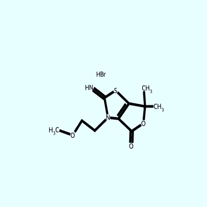 Br.COCCn1c2c(sc1=N)C(C)(C)OC2=O